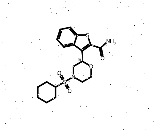 NC(=O)c1sc2ccccc2c1[C@@H]1CN(S(=O)(=O)C2CCCCC2)CCO1